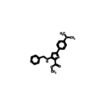 COC(=O)c1sc(-c2ccc(N(C)C)cc2)cc1NCc1ccccc1